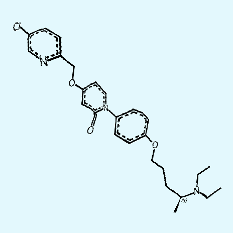 CCN(CC)[C@@H](C)CCCOc1ccc(-n2ccc(OCc3ccc(Cl)cn3)cc2=O)cc1